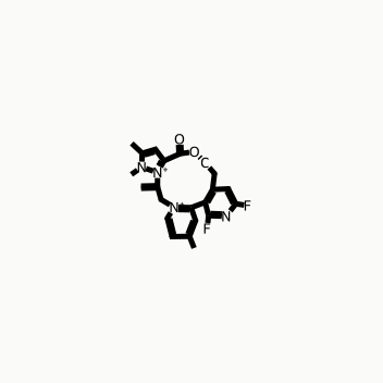 C=C1C[n+]2ccc(C)cc2-c2c(cc(F)nc2F)CCOC(=O)c2cc(C)n(C)[n+]21